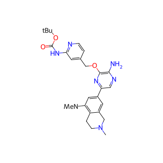 CNc1cc(-c2cnc(N)c(OCc3ccnc(NC(=O)OC(C)(C)C)c3)n2)cc2c1CCN(C)C2